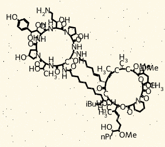 CCC[C@@H](O)C(CC/C=C(\C)C1OC(=O)C2CCCCN2C(=O)C(=O)C2(O)O[C@@H](C(OC)CC2C)C(OC)C[C@@H](C)C/C(C)=C\[C@H](C/C=C/CCCCN[C@H]2NC(=O)C3[C@@H](O)CCN3C(=O)C([C@H](O)CCN)NC(=O)C([C@H](O)[C@@H](O)c3ccc(O)cc3)NC(=O)C3C[C@@H](O)CN3C(=O)C([C@@H](C)O)NC(=O)C(NC(=O)CCCCCCCCC(C)CC(C)CC)C[C@H]2O)C(=O)CC(O)[C@H]1C)OC